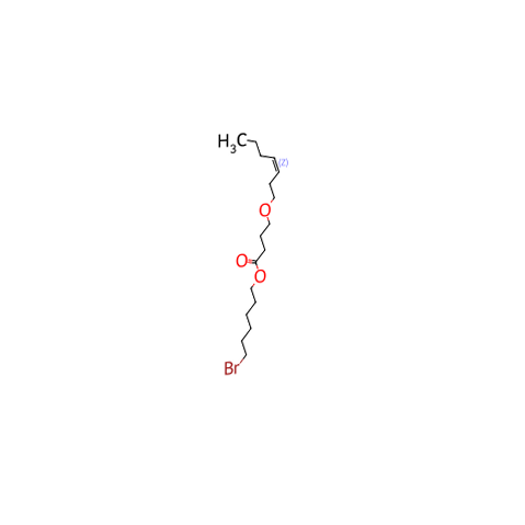 CCC/C=C\CCOCCCC(=O)OCCCCCCBr